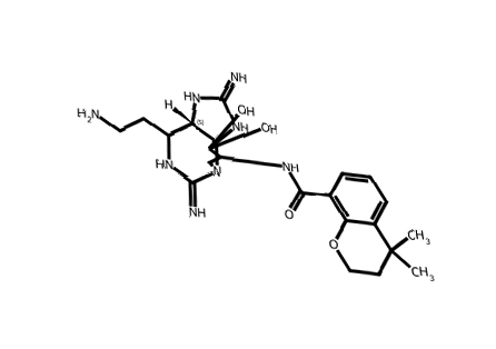 CC1(C)CCOc2c(C(=O)NC3CN4C(=N)NC(CCN)[C@@H]5NC(=N)NC54C3(O)O)cccc21